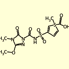 COc1nn(C(=O)NS(=O)(=O)C2=CS(C)(C(=O)O)C=C2)c(=O)n1C